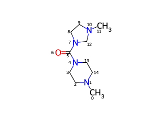 CN1CCN(C(=O)N2CCN(C)C2)CC1